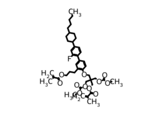 C=C(C)C(=O)OCCCc1cc(-c2ccc(C3CCC(CCCCC)CC3)cc2F)ccc1OCC(COC(=O)OC)(COC(=O)OC)COC(=O)C(=C)C